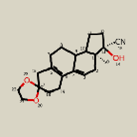 C[C@]12CC=C3C4=C(CCC3C1CC[C@]2(O)C#N)CC1(CC4)OCCO1